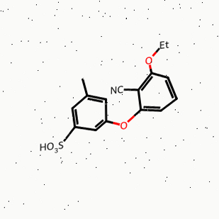 CCOc1cccc(Oc2cc(C)cc(S(=O)(=O)O)c2)c1C#N